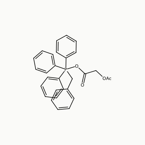 CC(=O)OCC(=O)OP(Cc1ccccc1)(c1ccccc1)(c1ccccc1)c1ccccc1